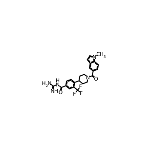 Cn1ccc2cc(C(=O)N3CCC(c4ccc(C(=O)NC(=N)N)cc4C(F)(F)F)CC3)ccc21